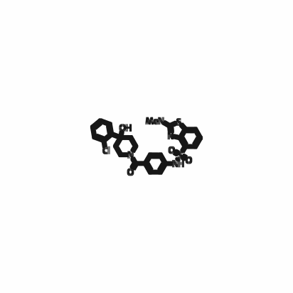 CNc1nc2c(S(=O)(=O)Nc3ccc(C(=O)N4CCC(O)(c5ccccc5Cl)CC4)cc3)cccc2s1